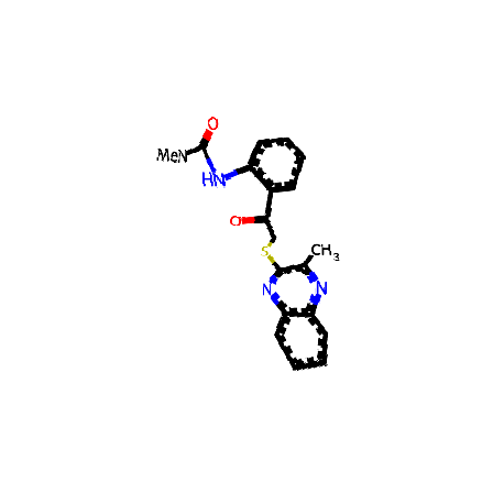 CNC(=O)Nc1ccccc1C(=O)CSc1nc2ccccc2nc1C